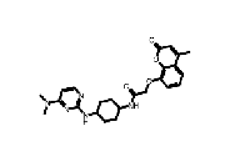 Cc1cc(=O)oc2c(OCC(=O)NC3CCC(Nc4nccc(N(C)C)n4)CC3)cccc12